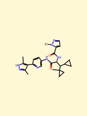 CCn1nccc1C(=O)N[C@H](C(=O)Nc1ccc(-c2c(C)n[nH]c2C)nc1)C(C1CC1)C1(C)CC1